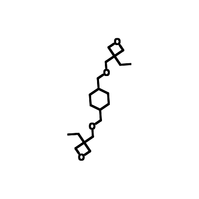 CCC1(COCC2CCC(COCC3(CC)COC3)CC2)COC1